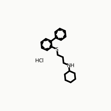 Cl.c1ccc(-c2ccccc2SCCCNC2CCCCC2)cc1